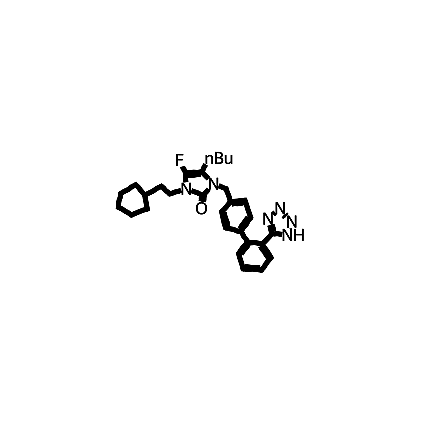 CCCCc1c(F)n(CCC2CCCCC2)c(=O)n1Cc1ccc(-c2ccccc2-c2nnn[nH]2)cc1